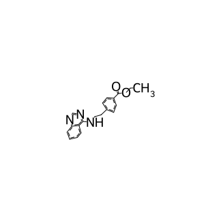 CCOC(=O)c1ccc(CCNc2ncnc3ccccc23)cc1